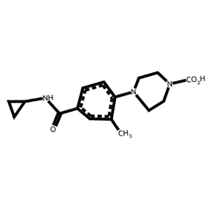 Cc1cc(C(=O)NC2CC2)ccc1N1CCN(C(=O)O)CC1